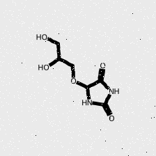 O=C1NC(=O)C(OCC(O)CO)N1